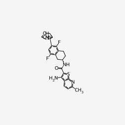 Cc1ccc2c(N)c(C(=O)N[C@@H]3CCc4c(F)c(N5CC6CNCC5CO6)cc(F)c4C3)sc2n1